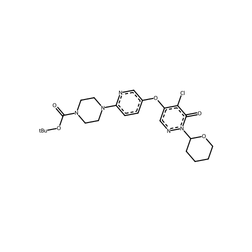 CC(C)(C)OC(=O)N1CCN(c2ccc(Oc3cnn(C4CCCCO4)c(=O)c3Cl)cn2)CC1